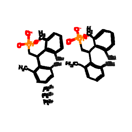 Cc1cccc(C(C)(C)C)c1C(C[PH]([O-])([O-])[O-])c1c(C)cccc1C(C)(C)C.Cc1cccc(C(C)(C)C)c1C(C[PH]([O-])([O-])[O-])c1c(C)cccc1C(C)(C)C.[Pt+2].[Pt+2].[Pt+2]